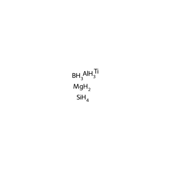 B.[AlH3].[MgH2].[SiH4].[Ti]